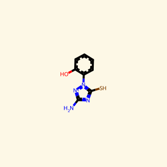 Nc1nc(S)n(-c2ccccc2O)n1